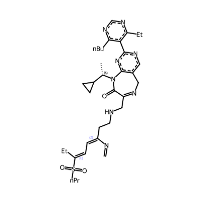 C=N/C(=C\C=C(/CC)S(=O)(=O)CCC)CCNCC1=NCc2cnc(-c3c(CC)ncnc3CCCC)nc2N([C@@H](C)C2CC2)C1=O